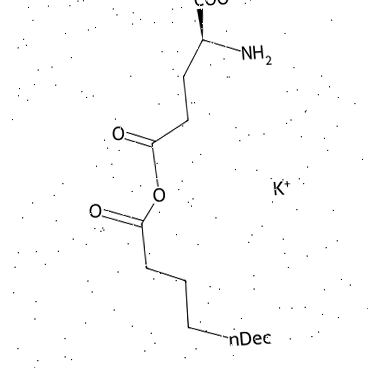 CCCCCCCCCCCCCC(=O)OC(=O)CC[C@H](N)C(=O)[O-].[K+]